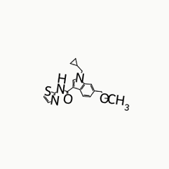 COCc1ccc2c(C(=O)Nc3nccs3)cn(CC3CC3)c2c1